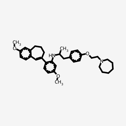 COc1ccc2c(c1)CCCC(c1ccc(OC)cc1NC(C)Cc1ccc(OCCN3CCCCCC3)cc1)=C2